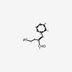 CC(C)CCC(C=O)=Cc1ccccc1